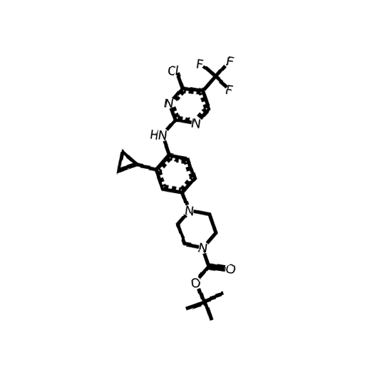 CC(C)(C)OC(=O)N1CCN(c2ccc(Nc3ncc(C(F)(F)F)c(Cl)n3)c(C3CC3)c2)CC1